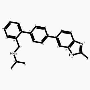 Cc1nc2ccc(-c3ccc(-c4ccccc4CNC(C)C)cc3)cc2[nH]1